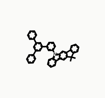 CC1(C)c2ccccc2-c2cc3c(cc21)c1ccccc1n3-c1cccc(-c2cc(-c3ccccc3)cc(-c3ccccc3)c2)c1